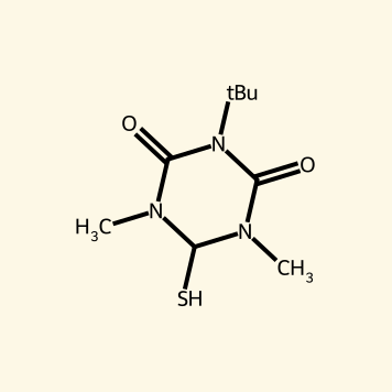 CN1C(=O)N(C(C)(C)C)C(=O)N(C)C1S